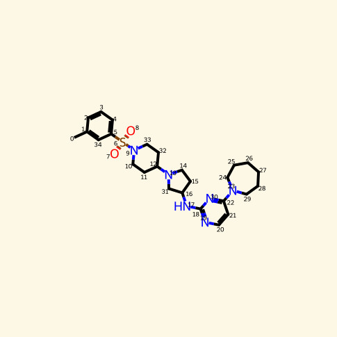 Cc1cccc(S(=O)(=O)N2CCC(N3CCC(Nc4nccc(N5CCCCCC5)n4)C3)CC2)c1